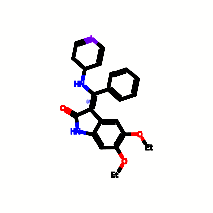 CCOc1cc2c(cc1OCC)/C(=C(/NC1C=CI=CC1)c1ccccc1)C(=O)N2